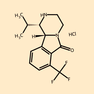 CC(C)[C@@H]1NCCN2C(=O)c3c(cccc3C(F)(F)F)[C@H]12.Cl